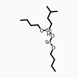 CCCC[O][Sn][O][SnH]([CH2]CC(C)C)[O]CCCC